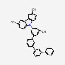 N#Cc1cc(-c2cccc(-c3cccc(-c4ccccc4)c3)c2)cc(-n2c3ccc(C#N)cc3c3cc(C#N)ccc32)c1